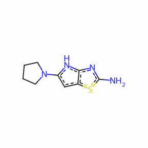 Nc1nc2[nH]c(N3CCCC3)cc2s1